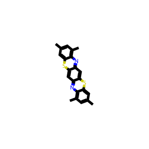 Cc1cc(C)c2c(c1)Sc1cc3c(cc1=N2)Sc1cc(C)cc(C)c1N=3